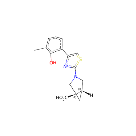 Cc1cccc(-c2csc(N3C[C@@H]4C[C@]4(C(=O)O)C3)n2)c1O